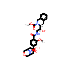 CCOc1cc(C(=O)N2C3COCC2CC(O)C3)ccc1C(=O)NC[C@@H](O)[C@@H]1Cc2ccccc2CN1C(=O)OC(C)(C)C